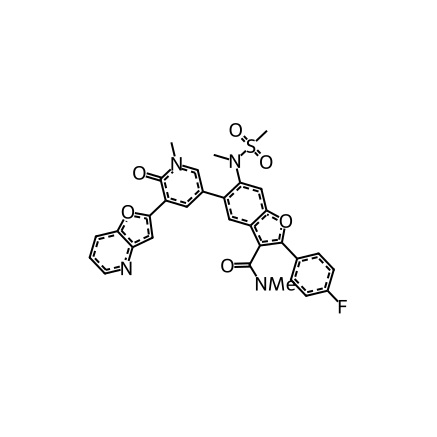 CNC(=O)c1c(-c2ccc(F)cc2)oc2cc(N(C)S(C)(=O)=O)c(-c3cc(-c4cc5ncccc5o4)c(=O)n(C)c3)cc12